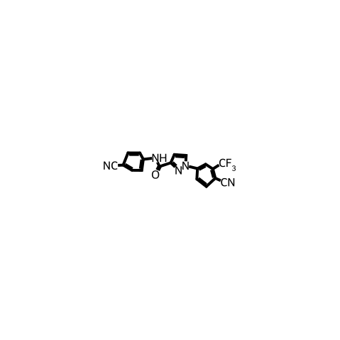 N#Cc1ccc(NC(=O)c2ccn(-c3ccc(C#N)c(C(F)(F)F)c3)n2)cc1